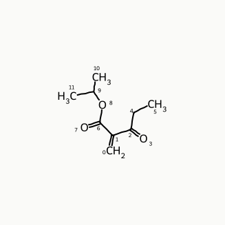 C=C(C(=O)CC)C(=O)OC(C)C